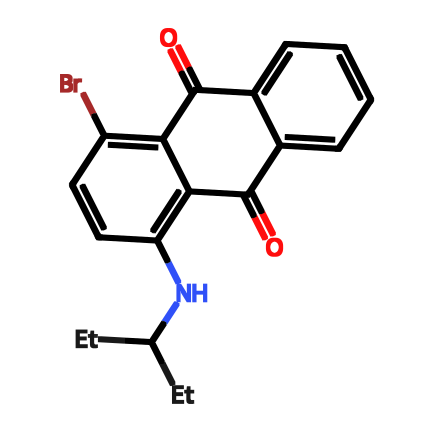 CCC(CC)Nc1ccc(Br)c2c1C(=O)c1ccccc1C2=O